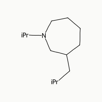 CC(C)CC1CCCCN(C(C)C)C1